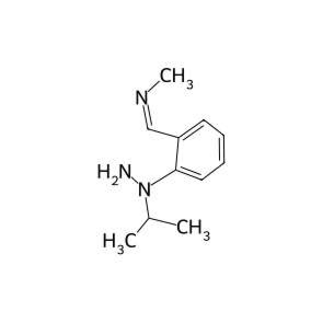 C/N=C\c1ccccc1N(N)C(C)C